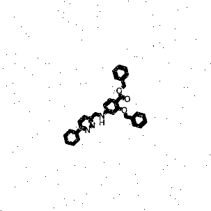 O=C(OCc1ccccc1)c1ccc(NCc2ccc(C3CCCCC3)nn2)cc1OCc1ccccc1